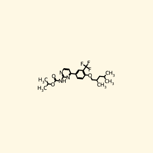 CC(C)C[C@@H](C)COc1ccc(-c2ccnc(NC(=O)OC(C)C)n2)cc1C(F)(F)F